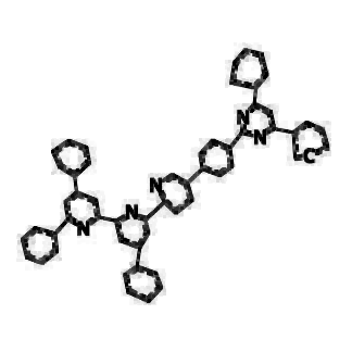 c1ccc(-c2cc(-c3ccccc3)nc(-c3cc(-c4ccccc4)cc(-c4ccc(-c5ccc(-c6nc(-c7ccccc7)cc(-c7ccccc7)n6)cc5)cn4)n3)c2)cc1